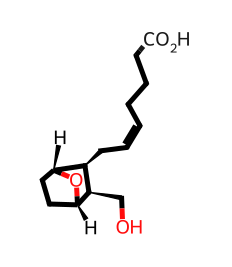 O=C(O)CCC/C=C\C[C@H]1[C@@H](CO)[C@@H]2CC[C@H]1O2